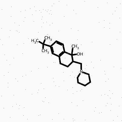 CC(C)(C)c1ccc2c(c1)CCC(CN1CCCCC1)C2(C)O